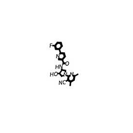 Cc1cc(C)c(C#N)c(N2CC(O)C(NC(=O)c3ccc(-c4cccc(F)c4)nc3)C2)n1